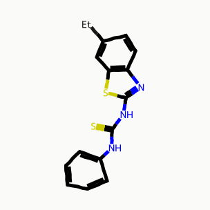 CCc1ccc2nc(NC(=S)Nc3ccccc3)sc2c1